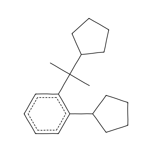 CC(C)(c1ccccc1C1CCCC1)C1CCCC1